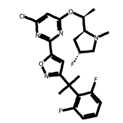 C[C@H](Oc1cc(Cl)nc(-c2cc(C(C)(C)c3c(F)cccc3F)no2)n1)[C@@H]1C[C@@H](F)CN1C